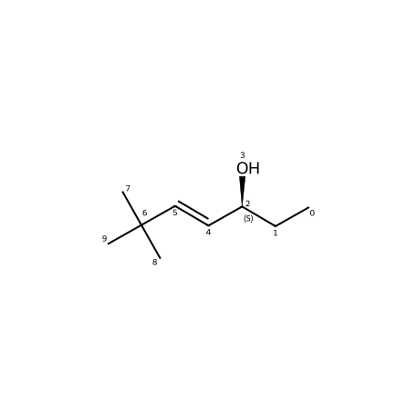 CC[C@H](O)C=CC(C)(C)C